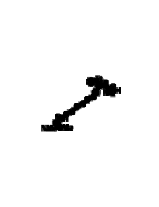 CCN(c1cc(-c2ccc(OCCOCCOCCOCCOCCOCCNC(=O)c3ccc(NC)c(OC)c3)cc2)cc(C(=O)NCc2c(C)cc(C)[nH]c2=O)c1C)C1CCOCC1